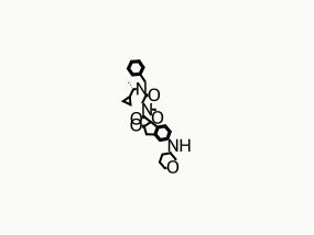 C[C@@H](C1CC1)N(Cc1ccccc1)C(=O)CN1COC2(C(=O)Cc3cc(NC4CCCOC4)ccc32)C1=O